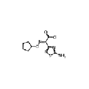 Nc1nc(/C(=N\OC2CCCC2)C(=O)Cl)ns1